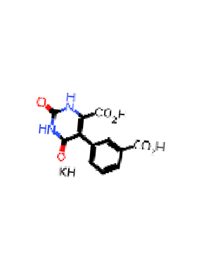 O=C(O)c1cccc(-c2c(C(=O)O)[nH]c(=O)[nH]c2=O)c1.[KH]